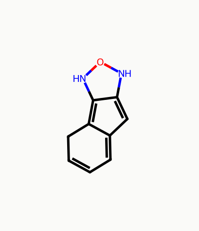 C1=CCC2=C3NONC3=CC2=C1